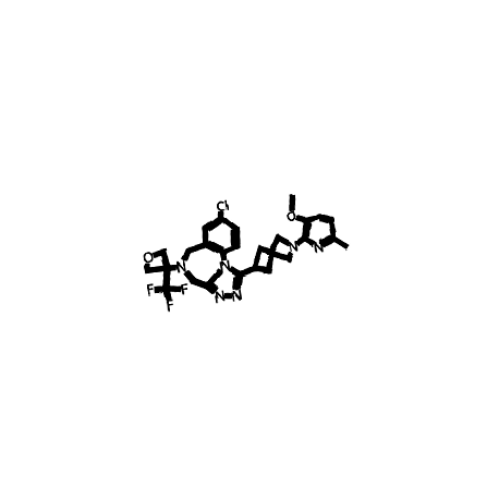 COc1ccc(C)nc1N1CC2(CC(c3nnc4n3-c3ccc(Cl)cc3CN(C3(C(F)(F)F)COC3)C4)C2)C1